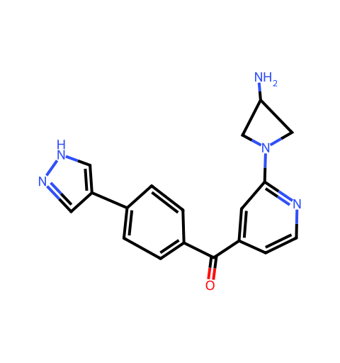 NC1CN(c2cc(C(=O)c3ccc(-c4cn[nH]c4)cc3)ccn2)C1